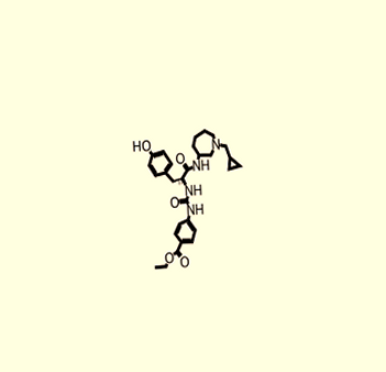 CCOC(=O)c1ccc(NC(=O)N[C@@H](Cc2ccc(O)cc2)C(=O)NC2CCCCN(CC3CC3)C2)cc1